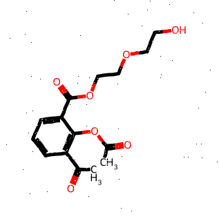 CC(=O)Oc1c(C(C)=O)cccc1C(=O)OCCOCCO